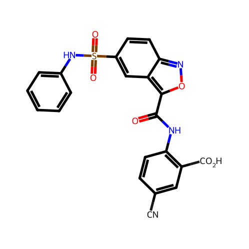 N#Cc1ccc(NC(=O)c2onc3ccc(S(=O)(=O)Nc4ccccc4)cc23)c(C(=O)O)c1